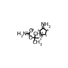 CC(C)(C[C@H]1CC[C@H](N)C1)OC(N)=O